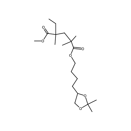 CCC(C)(CC(C)(C)C(=O)OCCCCC1COC(C)(C)O1)C(=O)OC